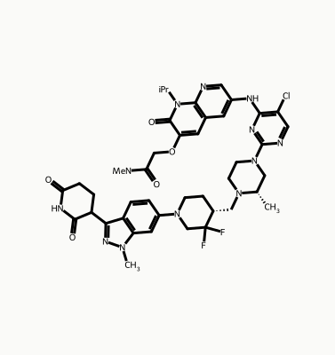 CNC(=O)COc1cc2cc(Nc3nc(N4CCN(C[C@H]5CCN(c6ccc7c(C8CCC(=O)NC8=O)nn(C)c7c6)CC5(F)F)[C@@H](C)C4)ncc3Cl)cnc2n(C(C)C)c1=O